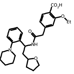 CCOc1cc(CC(=O)NC(CC2CCCO2)c2ccccc2N2CCCCC2)ccc1C(=O)O